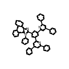 c1ccc(-c2cc(-c3ccccc3)nc(-c3cc(-c4cc(-c5ccccc5)cc(-c5ccccc5)n4)cc(-c4nc5c6ccccc6c6ccccc6c5n4-c4ccccc4)c3)c2)cc1